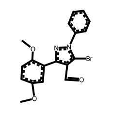 COc1ccc(OC)c(-c2nn(-c3ccccc3)c(Br)c2C=O)c1